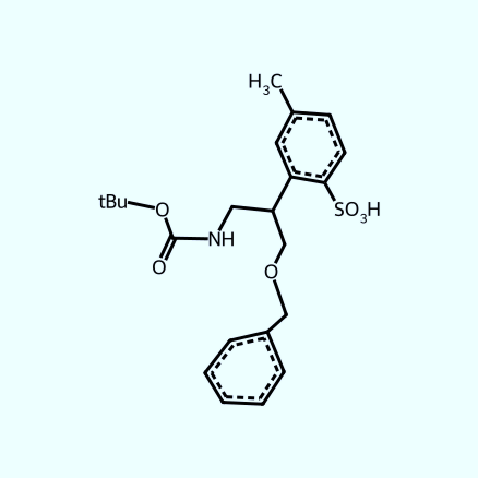 Cc1ccc(S(=O)(=O)O)c(C(CNC(=O)OC(C)(C)C)COCc2ccccc2)c1